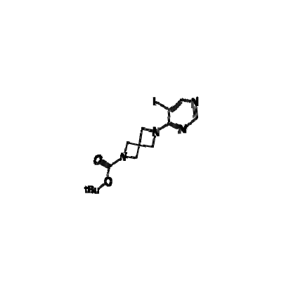 CC(C)(C)OC(=O)N1CC2(C1)CN(c1ncncc1I)C2